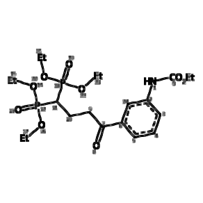 CCOC(=O)Nc1cccc(C(=O)CCC(P(=O)(OCC)OCC)P(=O)(OCC)OCC)c1